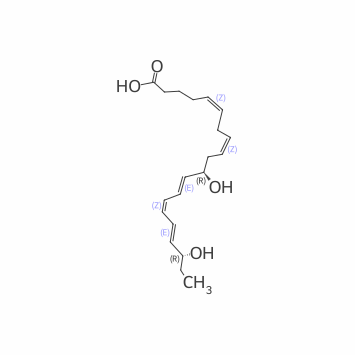 CC[C@@H](O)/C=C/C=C\C=C\[C@H](O)C/C=C\C/C=C\CCCC(=O)O